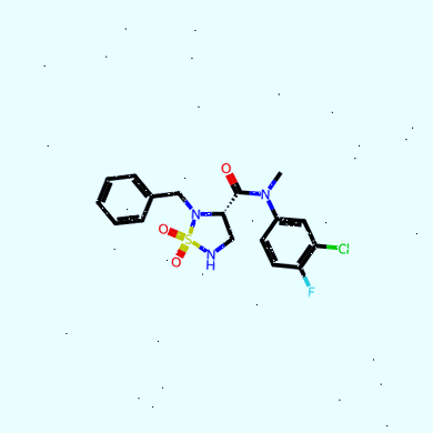 CN(C(=O)[C@@H]1CNS(=O)(=O)N1Cc1ccccc1)c1ccc(F)c(Cl)c1